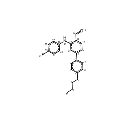 CCCCc1ccc(-c2ccc(C=O)c(Nc3ccc(F)cc3)c2)cc1